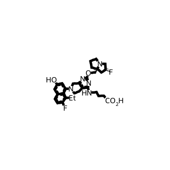 CCc1c(F)ccc2cc(O)cc(N3CCc4c(nc(OC[C@@]56CCCN5C[C@H](F)C6)nc4NCCCC(=O)O)C3)c12